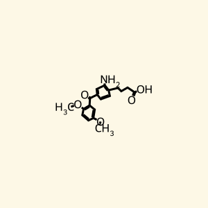 COc1ccc(OC)c(C(=O)c2ccc(CCCC(=O)O)c(N)c2)c1